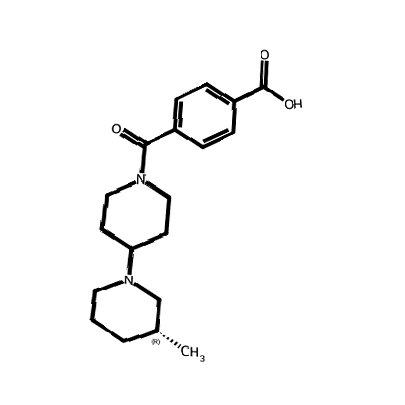 C[C@@H]1CCCN(C2CCN(C(=O)c3ccc(C(=O)O)cc3)CC2)C1